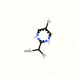 CCCCCCC(CC)c1ncc(CC)cn1